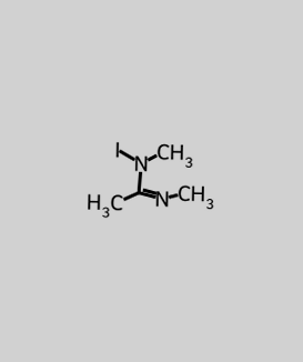 C/N=C(/C)N(C)I